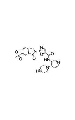 CS(=O)(=O)c1ccc2c(c1)C(=O)N(c1ncc(C(=O)Nc3cnccc3N3CCNCC3)o1)C2